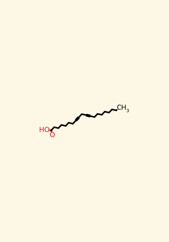 CCCCCCCCC#CCC#CCCCCCCC(=O)O